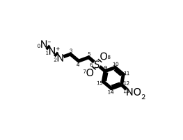 [N-]=[N+]=NCCCS(=O)(=O)c1ccc([N+](=O)[O-])cc1